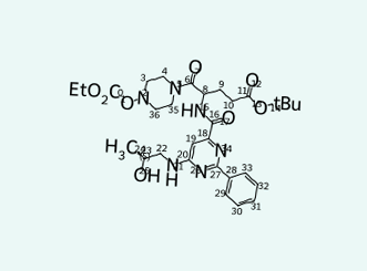 CCOC(=O)ON1CCN(C(=O)C(CCC(=O)OC(C)(C)C)NC(=O)c2cc(NC[C@H](C)O)nc(-c3ccccc3)n2)CC1